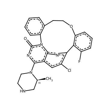 C[C@H]1CNCCN1c1nc(=O)n2c3nc(c(Cl)cc13)-c1c(F)cccc1OCCc1ccccc1-2